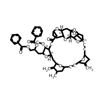 C=C1CC2CC[C@@]34CC5OC6C(O3)[C@H]3OC(CCC3O[C@H]6C5O4)CC(=O)CC3[C@@H](OC)C(CC(COC(=O)c4ccccc4)OC(=O)c4ccccc4)O[C@H]3CC3OC(CCC1O2)CC(C)C3=C